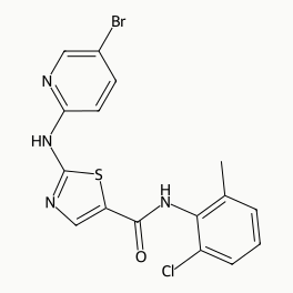 Cc1cccc(Cl)c1NC(=O)c1cnc(Nc2ccc(Br)cn2)s1